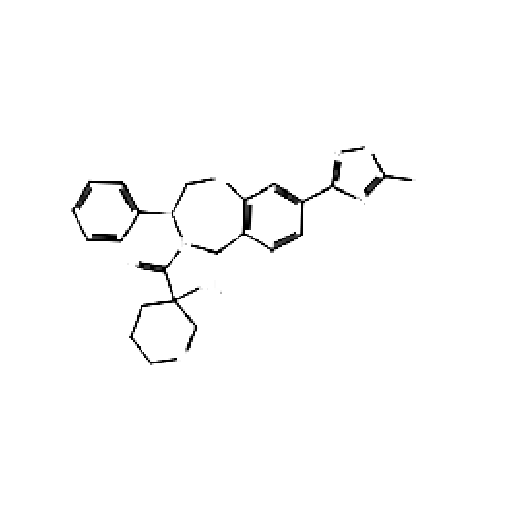 CC1(C(=O)N2Cc3ccc(-c4noc(C(F)(F)F)n4)cc3OC[C@@H]2c2ccccc2)CCCOC1